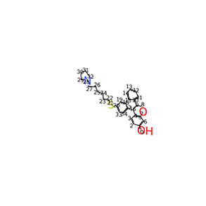 Oc1ccc2c(c1)OC[C@H](c1ccccc1)[C@@H]2c1ccc(SCCCCCCN2CCCC2)cc1